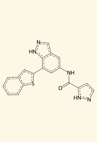 O=C(Nc1cc(-c2cc3ccccc3s2)c2[nH]ncc2c1)c1ccn[nH]1